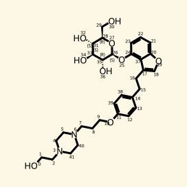 OCCN1CCN(CCCOc2ccc(CCc3coc4cccc(O[C@@H]5O[C@H](CO)[C@@H](O)[C@H](O)[C@H]5O)c34)cc2)CC1